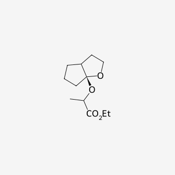 CCOC(=O)C(C)O[C@@]12CCCC1CCO2